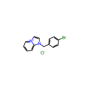 Brc1ccc(Cn2cc[n+]3ccccc23)cc1.[Cl-]